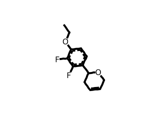 CCOc1ccc(C2CC=CCO2)c(F)c1F